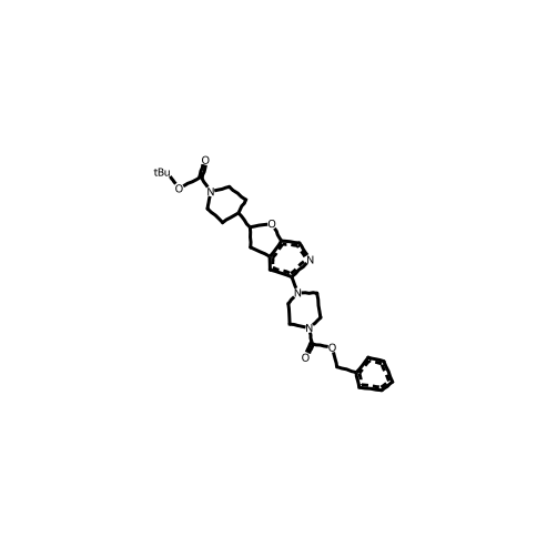 CC(C)(C)OC(=O)N1CCC(C2Cc3cc(N4CCN(C(=O)OCc5ccccc5)CC4)ncc3O2)CC1